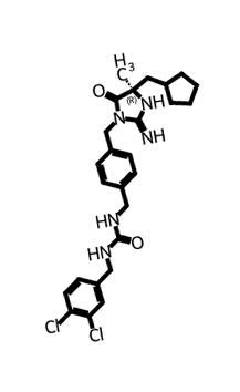 C[C@]1(CC2CCCC2)NC(=N)N(Cc2ccc(CNC(=O)NCc3ccc(Cl)c(Cl)c3)cc2)C1=O